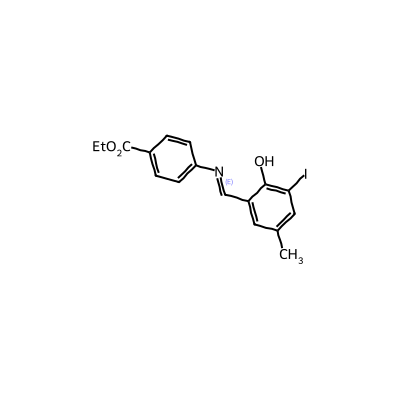 CCOC(=O)c1ccc(/N=C/c2cc(C)cc(I)c2O)cc1